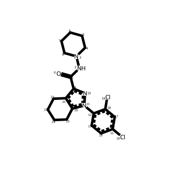 O=C(NN1CCCCC1)c1nn(-c2ccc(Cl)cc2Cl)c2c1CCCC2